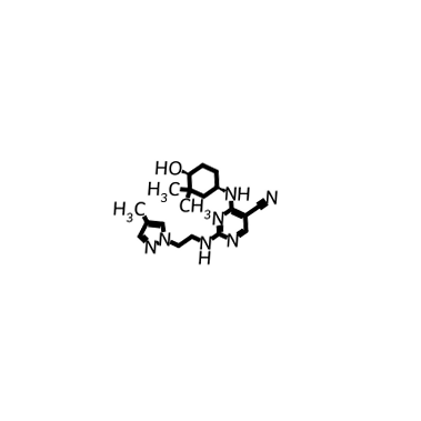 Cc1cnn(CCNc2ncc(C#N)c(N[C@@H]3CC[C@H](O)C(C)(C)C3)n2)c1